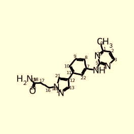 Cc1ccnc(Nc2cccc(-c3cnn(CCC(N)=O)c3)c2)n1